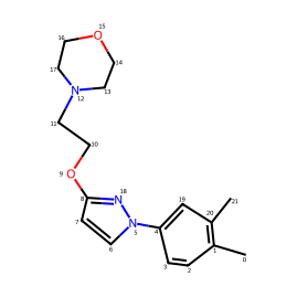 Cc1ccc(-n2ccc(OCCN3CCOCC3)n2)cc1C